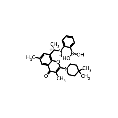 Cc1cc([C@H](C)Nc2ccccc2B(O)O)c2oc(N3CCC(C)(C)CC3)c(C)c(=O)c2c1